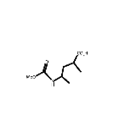 COC(=O)NC(C)CC(C)C(=O)O